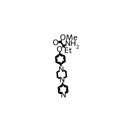 CCC(N)(Oc1ccc(N2CCN(c3ccncc3)CC2)cc1)C(=O)OC